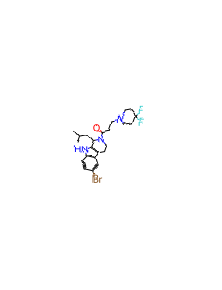 CC(C)CC1c2[nH]c3ccc(Br)cc3c2CCN1C(=O)CCN1CCC(F)(F)CC1